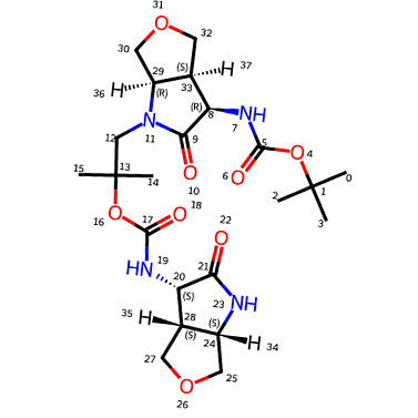 CC(C)(C)OC(=O)N[C@H]1C(=O)N(CC(C)(C)OC(=O)N[C@@H]2C(=O)N[C@@H]3COC[C@H]23)[C@H]2COC[C@@H]12